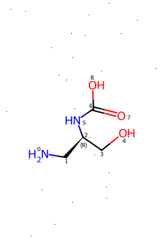 NC[C@H](CO)NC(=O)O